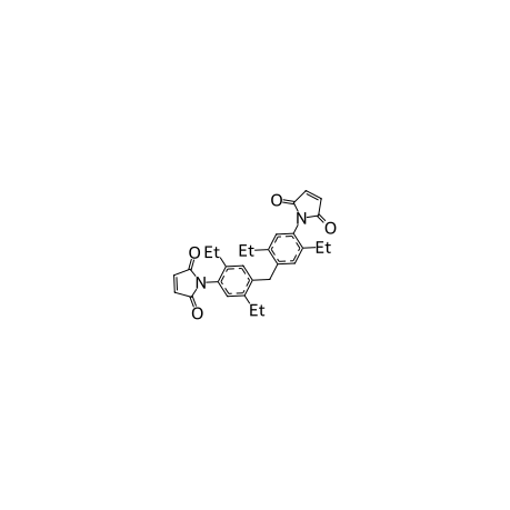 CCc1cc(N2C(=O)C=CC2=O)c(CC)cc1Cc1cc(CC)c(N2C(=O)C=CC2=O)cc1CC